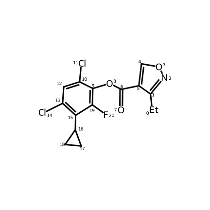 CCc1nocc1C(=O)Oc1c(Cl)cc(Cl)c(C2CC2)c1F